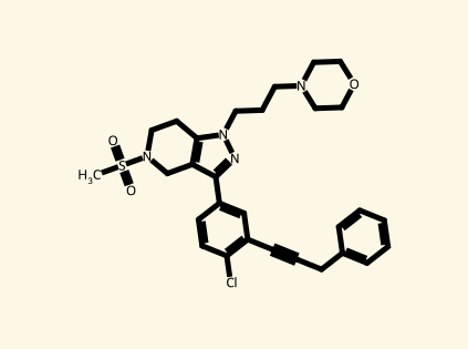 CS(=O)(=O)N1CCc2c(c(-c3ccc(Cl)c(C#CCc4ccccc4)c3)nn2CCCN2CCOCC2)C1